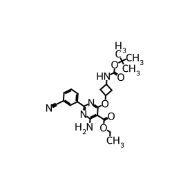 CCOC(=O)c1c(N)nc(-c2cccc(C#N)c2)nc1OC1CC(NC(=O)OC(C)(C)C)C1